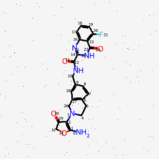 NC1=C(N2CCc3ccc(CNC(=O)c4nc5cccc(F)c5c(=O)[nH]4)cc3C2)C(=O)CO1